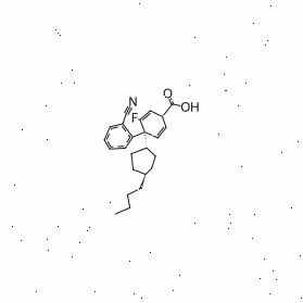 CCCC[C@H]1CC[C@H](C2(c3ccccc3C#N)C=CC(C(=O)O)C=C2F)CC1